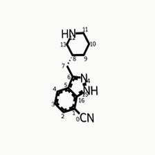 N#Cc1cccc2c(C[C@H]3CCCNC3)n[nH]c12